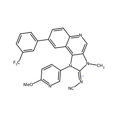 COc1ccc(-n2/c(=N\C#N)n(C)c3cnc4ccc(-c5cccc(C(F)(F)F)c5)cc4c32)cn1